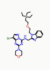 CC[Si](CC)(CC)CCOCCn1c(CNc2nc(N3CCOCC3)nc3c(Br)cnn23)nc2ccccc21